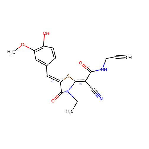 C#CCNC(=O)/C(C#N)=c1\s/c(=C\c2ccc(O)c(OC)c2)c(=O)n1CC